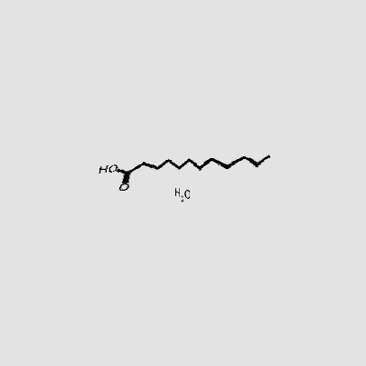 CCCCCCCCCCCC(=O)O.O